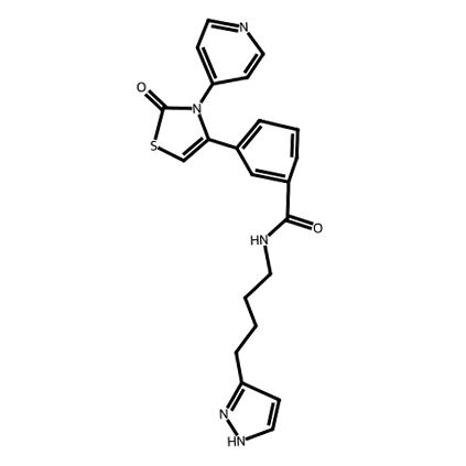 O=C(NCCCCc1cc[nH]n1)c1cccc(-c2csc(=O)n2-c2ccncc2)c1